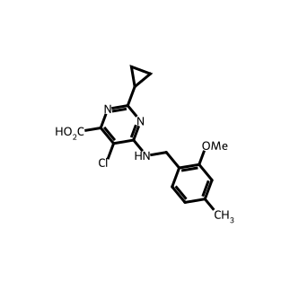 COc1cc(C)ccc1CNc1nc(C2CC2)nc(C(=O)O)c1Cl